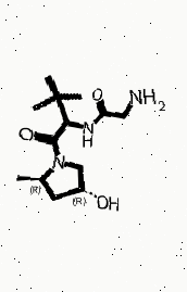 C[C@@H]1C[C@@H](O)CN1C(=O)C(NC(=O)CN)C(C)(C)C